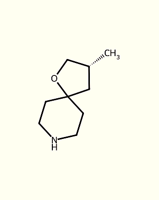 C[C@H]1COC2(CCNCC2)C1